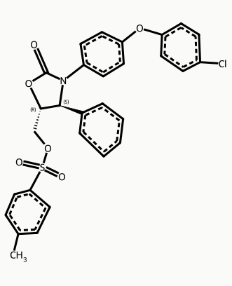 Cc1ccc(S(=O)(=O)OC[C@@H]2OC(=O)N(c3ccc(Oc4ccc(Cl)cc4)cc3)[C@H]2c2ccccc2)cc1